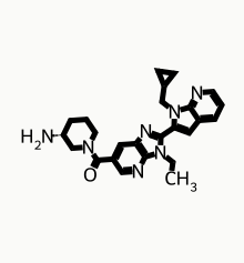 CCn1c(-c2cc3cccnc3n2CC2CC2)nc2cc(C(=O)N3CCC[C@@H](N)C3)cnc21